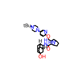 CC(C)(C)N1CCN(c2ccc(OCC3CC4CCC(N4)C3C(=O)NC3[C@@H]4CC5C[C@H]3CC(O)(C5)C4)nc2)CC1